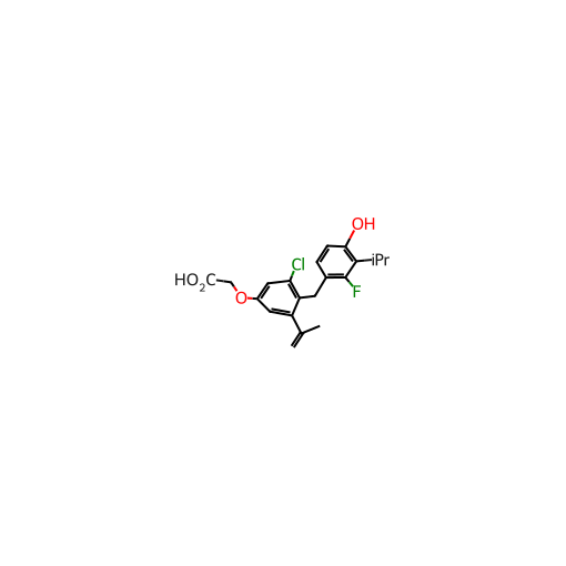 C=C(C)c1cc(OCC(=O)O)cc(Cl)c1Cc1ccc(O)c(C(C)C)c1F